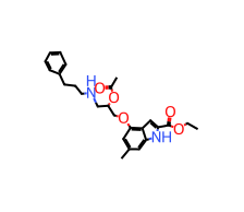 CCOC(=O)c1cc2c(OCC(CNCCCc3ccccc3)OC(C)=O)cc(C)cc2[nH]1